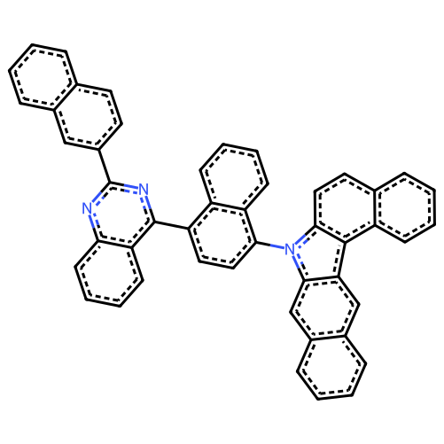 c1ccc2cc(-c3nc(-c4ccc(-n5c6cc7ccccc7cc6c6c7ccccc7ccc65)c5ccccc45)c4ccccc4n3)ccc2c1